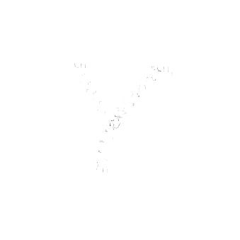 CCCCCCCCCCCCc1n(CCCCCCCC)cc[n+]1CCCCCCCCCCCC